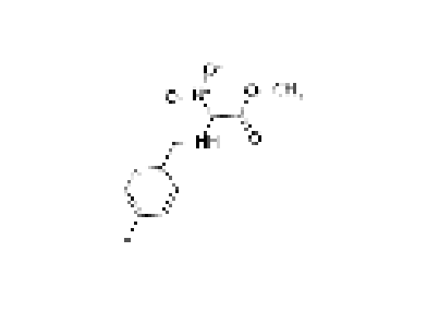 COC(=O)C(NCc1ccc(F)cc1)[N+](=O)[O-]